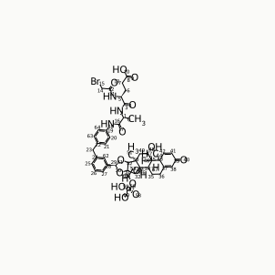 C[C@H](NC(=O)[C@H](CCC(=O)O)NC(=O)CBr)C(=O)Nc1ccc(Cc2cccc([C@@H]3O[C@@H]4C[C@H]5[C@@H]6CCC7=CC(=O)C=C[C@]7(C)[C@@]6(F)[C@@H](O)C[C@]5(C)[C@]4(C(=O)COP(=O)(O)O)O3)c2)cc1